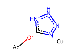 CC(=O)[O-].[Cu].c1nn[nH][nH+]1